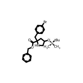 CC(C)(C)[Si](C)(C)OC1CNC(Cc2ccc(Br)cc2)(C(=O)OCc2ccccc2)C1